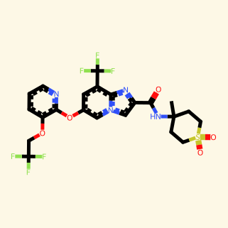 CC1(NC(=O)c2cn3cc(Oc4ncccc4OCC(F)(F)F)cc(C(F)(F)F)c3n2)CCS(=O)(=O)CC1